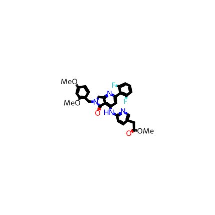 COC(=O)Cc1ccc(Nc2cc(-c3c(F)cccc3F)nc3c2C(=O)N(Cc2ccc(OC)cc2OC)C3)nc1